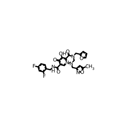 Cc1cc(CN2CN(Cc3ccco3)C(=O)c3c(O)c(=O)c(C(=O)NCc4ccc(F)cc4F)cn32)no1